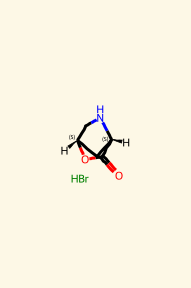 Br.O=C1O[C@@H]2CN[C@H]1C2